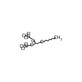 CCCCCCCCOCCCC(COCCC[Si](Cl)(Cl)Cl)COCCC[Si](Cl)(Cl)Cl